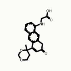 CC1(C2=CC(=O)Cc3cc4c(NCC(=O)O)cccc4cc32)CCOCO1